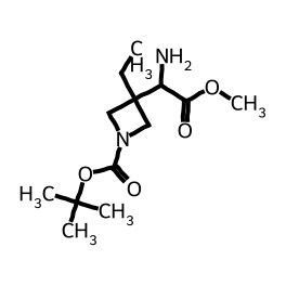 CCC1(C(N)C(=O)OC)CN(C(=O)OC(C)(C)C)C1